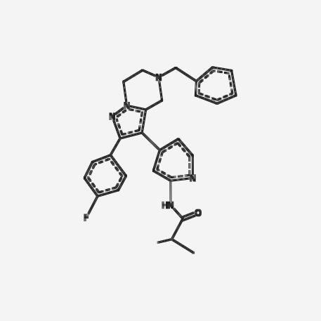 CC(C)C(=O)Nc1cc(-c2c(-c3ccc(F)cc3)nn3c2CN(Cc2ccccc2)CC3)ccn1